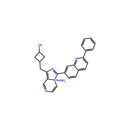 N[N+]12C=CN=CC1=C(CC1CC(O)C1)N=C2c1ccc2ccc(-c3ccccc3)nc2c1